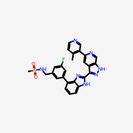 Cc1ccncc1-c1cc2c(-c3nc4c(-c5cc(F)cc(CNS(C)(=O)=O)c5)cccc4[nH]3)n[nH]c2cn1